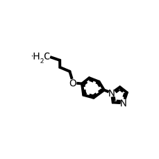 [CH2]CCCOc1ccc(-n2ccnc2)cc1